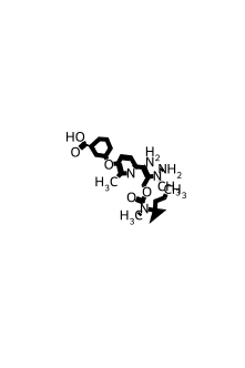 CCCC1(N(C)C(=O)OC/C(=C(/N)c2ccc(OC3CCC[C@H](C(=O)O)C3)c(C)n2)N(C)N)CC1